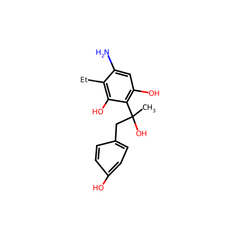 CCc1c(N)cc(O)c(C(C)(O)Cc2ccc(O)cc2)c1O